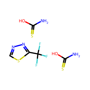 FC(F)(F)c1nncs1.NC(O)=S.NC(O)=S